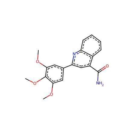 COc1cc(-c2cc(C(N)=O)c3ccccc3n2)cc(OC)c1OC